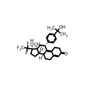 CC(C)(O)c1ccc([C@H]2C[C@@]3(C)[C@@H](CC[C@@]3(O)C(F)(F)C(F)(F)F)[C@@H]3CCC4=CC(=O)CCC4=C32)cc1